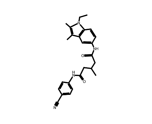 CCn1c(C)c(C)c2cc(NC(=O)CC(C)CC(=O)Nc3ccc(C#N)cc3)ccc21